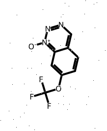 [O-][n+]1nncc2ccc(OC(F)(F)F)cc21